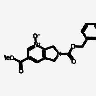 COC(=O)c1cc2c([n+]([O-])c1)CN(C(=O)OCc1ccccc1)C2